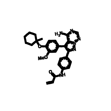 C=CC(=O)Nc1ccc(-c2nn3ncnc(N)c3c2-c2ccc(OC3(C)CCCCC3)c(OC)c2)cc1